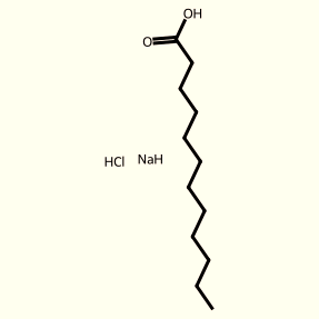 CCCCCCCCCCCC(=O)O.Cl.[NaH]